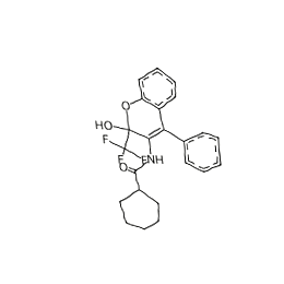 O=C(NC1=C(c2ccccc2)c2ccccc2OC1(O)C(F)(F)F)C1CCCCC1